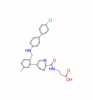 Cc1ccc(CNc2ccc(-c3ccc(Cl)cc3)cc2)c(-c2ccc(C(=O)NCCC(=O)O)nc2)c1